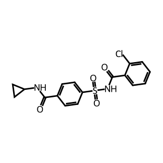 O=C(NC1CC1)c1ccc(S(=O)(=O)NC(=O)c2ccccc2Cl)cc1